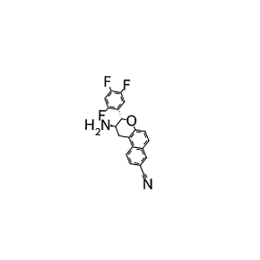 N#Cc1ccc2c3c(ccc2c1)O[C@@H](c1cc(F)c(F)cc1F)[C@H](N)C3